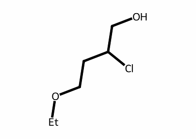 CCOCCC(Cl)CO